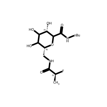 CCCCNC(=O)C1O[C@H](CNC(=O)[C@H](C)F)C(O)C(O)[C@@H]1O